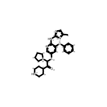 Cc1csc(Nc2ncc(SC(C(=O)C3CCNCC3)N3CCCC3)cc2Oc2ccccc2)n1